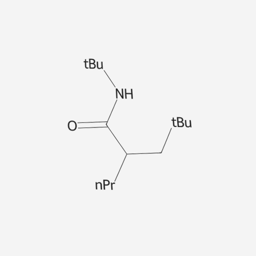 CCCC(CC(C)(C)C)C(=O)NC(C)(C)C